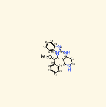 COC(Cn1c(NC2CCNCC2)nc2ccccc21)c1ccccc1